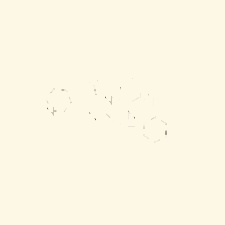 CC(C)[C@@H](C(=O)Nc1ccc(I)cc1F)N1C(=O)NC(c2cccnc2)C1=O